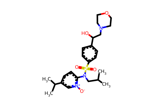 CC(C)CN(c1ccc(C(C)C)c[n+]1[O-])S(=O)(=O)c1ccc(C(O)CN2CCOCC2)cc1